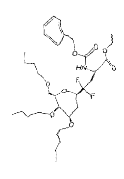 CCCCOC[C@H]1O[C@@H](C(F)(F)C[C@@H](NC(=O)OCc2ccccc2)C(=O)OCC)C[C@@H](OCCCC)[C@H]1OCCCC